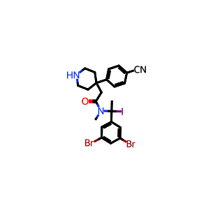 CN(C(=O)CC1(c2ccc(C#N)cc2)CCNCC1)C(C)(I)c1cc(Br)cc(Br)c1